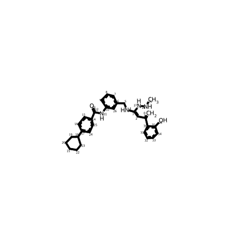 C=C(/C=C(/NCc1cccc(NC(=O)c2ccc(C3CCCCC3)cc2)c1)NNC)c1ccccc1O